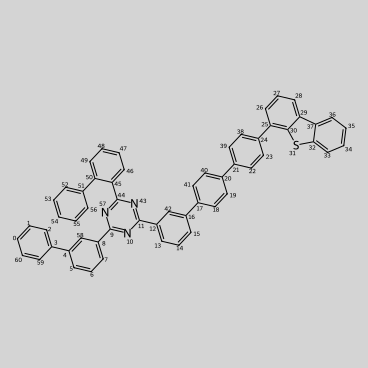 c1ccc(-c2cccc(-c3nc(-c4cccc(-c5ccc(-c6ccc(-c7cccc8c7sc7ccccc78)cc6)cc5)c4)nc(-c4ccccc4-c4ccccc4)n3)c2)cc1